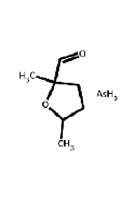 CC1CCC(C)(C=O)O1.[AsH3]